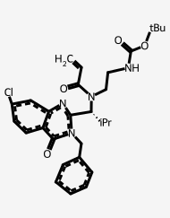 C=CC(=O)N(CCNC(=O)OC(C)(C)C)[C@@H](c1nc2cc(Cl)ccc2c(=O)n1Cc1ccccc1)C(C)C